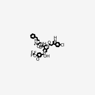 CNC(O)[C@H](CCCc1ccccc1)NC(=O)C1CN(C(=O)Cc2c[nH]c3cc(Cl)ccc23)CC2CN(C(O)c3ccc(OC(F)(F)F)c(OC)c3)CC21